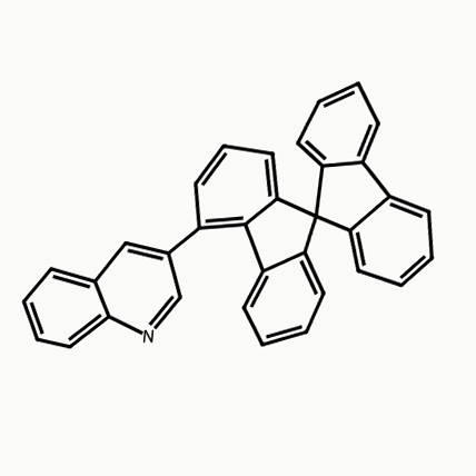 c1ccc2c(c1)-c1ccccc1C21c2ccccc2-c2c(-c3cnc4ccccc4c3)cccc21